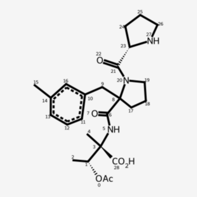 CC(=O)O[C@H](C)[C@](C)(NC(=O)C1(Cc2cccc(C)c2)CCCN1C(=O)[C@@H]1CCCN1)C(=O)O